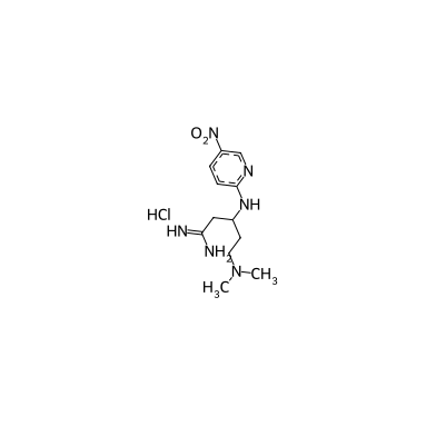 CN(C)CCC(CC(=N)N)Nc1ccc([N+](=O)[O-])cn1.Cl